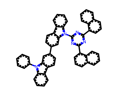 c1ccc(-n2c3ccccc3c3ccc(-c4ccc5c6ccccc6n(-c6nc(-c7cccc8ccccc78)nc(-c7cccc8ccccc78)n6)c5c4)cc32)cc1